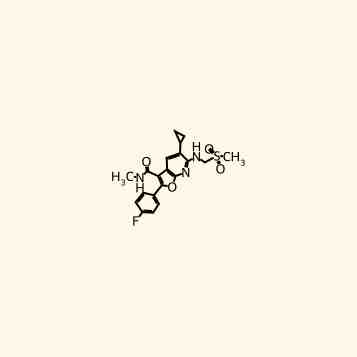 CNC(=O)c1c(-c2ccc(F)cc2)oc2nc(NCS(C)(=O)=O)c(C3CC3)cc12